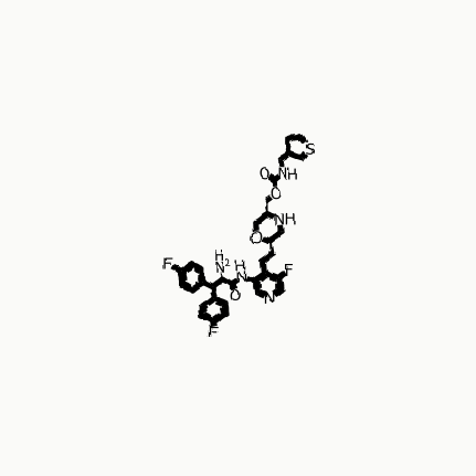 N[C@H](C(=O)Nc1cncc(F)c1CC[C@@H]1CN[C@H](COC(=O)NCC2CCSC2)CO1)C(c1ccc(F)cc1)c1ccc(F)cc1